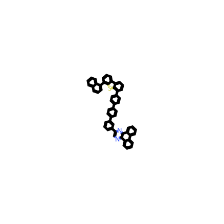 c1cc(-c2ccc(-c3ccc(-c4cccc5c4sc4c(-c6cccc7ccccc67)cccc45)cc3)cc2)cc(-c2cnc3c4ccccc4c4ccccc4c3n2)c1